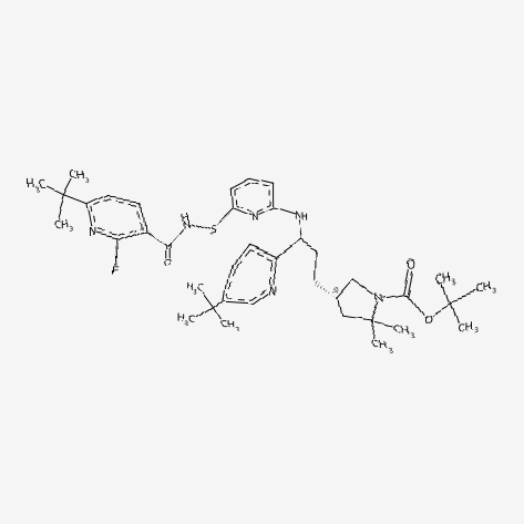 CC(C)(C)OC(=O)N1C[C@@H](CCC(Nc2cccc(SNC(=O)c3ccc(C(C)(C)C)nc3F)n2)c2ccc(C(C)(C)C)cn2)CC1(C)C